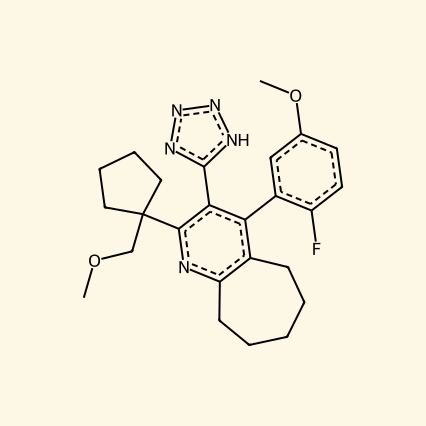 COCC1(c2nc3c(c(-c4cc(OC)ccc4F)c2-c2nnn[nH]2)CCCCC3)CCCC1